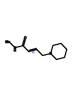 CC(C)(C)NC(=O)/C=C/CN1CCCCC1